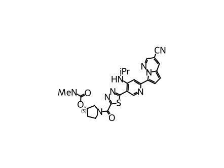 CNC(=O)O[C@H]1CCN(C(=O)c2nnc(-c3cnc(-c4ccc5cc(C#N)cnn45)cc3NC(C)C)s2)C1